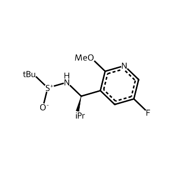 COc1ncc(F)cc1[C@H](N[S+]([O-])C(C)(C)C)C(C)C